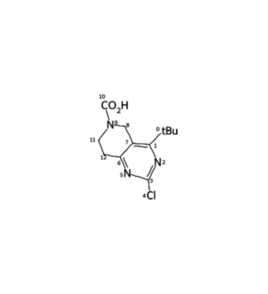 CC(C)(C)c1nc(Cl)nc2c1CN(C(=O)O)CC2